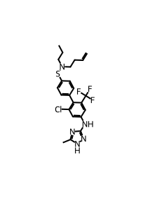 C=CCCN(CCC)Sc1ccc(-c2c(Cl)cc(Nc3n[nH]c(C)n3)cc2C(F)(F)F)cc1